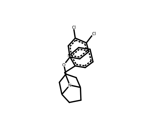 Clc1ccc(OC2CC3CCC(C2)N3Cc2ccccn2)cc1Cl